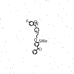 CSc1cc(C(=O)c2ccccc2)ccc1OCCCN1CCC(c2noc3cc(F)ccc23)CC1